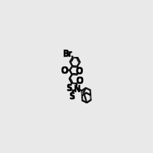 O=C1/C(=C\c2coc3ccc(Br)cc3c2=O)SC(=S)N1C1C2CC3CC(C2)CC1C3